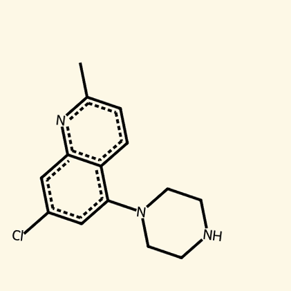 Cc1ccc2c(N3CCNCC3)cc(Cl)cc2n1